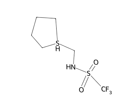 O=S(=O)(NC[SH]1CCCC1)C(F)(F)F